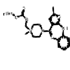 CCCCCCOC(=O)OC[N+]1(C)CCN(C2=Nc3ccccc3Nc3sc(C)cc32)CC1